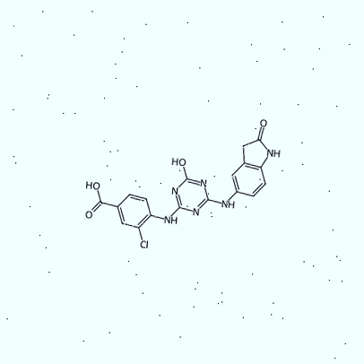 O=C1Cc2cc(Nc3nc(O)nc(Nc4ccc(C(=O)O)cc4Cl)n3)ccc2N1